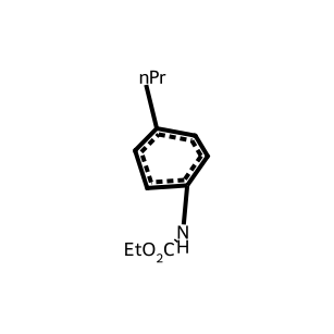 CCCc1ccc(NC(=O)OCC)cc1